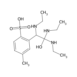 CCNC(c1cc(C)ccc1S(=O)(=O)O)C(O)(NCC)NCC